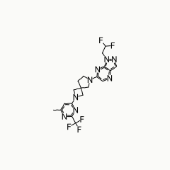 Cc1cc(N2CC3(CCN(c4cnc5cnn(CC(F)F)c5n4)C3)C2)nc(C(F)(F)F)n1